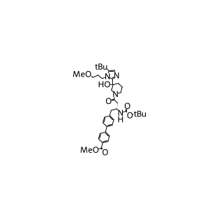 COCCCn1c(C(C)(C)C)cnc1C1(O)CCCN(C(=O)C[C@@H](Cc2ccc(-c3ccc(C(=O)OC)cc3)cc2)NC(=O)OC(C)(C)C)C1